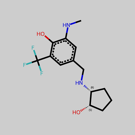 CNc1cc(CN[C@@H]2CCC[C@@H]2O)cc(C(F)(F)F)c1O